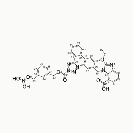 CCOc1nc2cccc(C(=O)O)c2n1Cc1ccc(-c2ccccc2-c2nnn(C(=O)OCc3cccc(CON(O)O)c3)n2)cc1